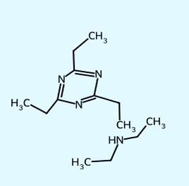 CCNCC.CCc1nc(CC)nc(CC)n1